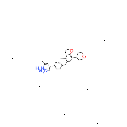 C/C(N)=C/C(=C\N)c1ccc(Cc2cc(C3CCOCC3)c3c(c2C)CCO3)cc1